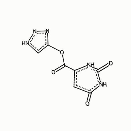 O=C(Oc1c[nH]nn1)c1cc(=O)[nH]c(=O)[nH]1